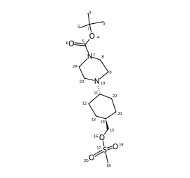 CC(C)(C)OC(=O)N1CCN([C@H]2CC[C@H](COS(C)(=O)=O)CC2)CC1